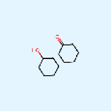 O=C1CCCCC1.OC1CCCCC1